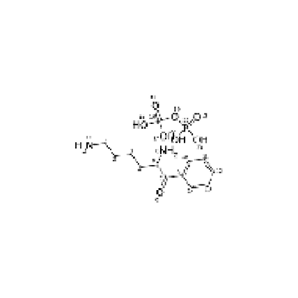 NCCCCC(N)C(=O)c1ccccc1.O=P(O)(O)OP(=O)(O)O